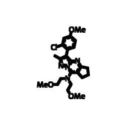 COCCN(CCOC)c1c2c(nc3c(-c4ccc(OC)cc4Cl)c(C)nn13)CCC2